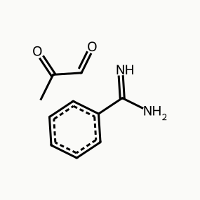 CC(=O)C=O.N=C(N)c1ccccc1